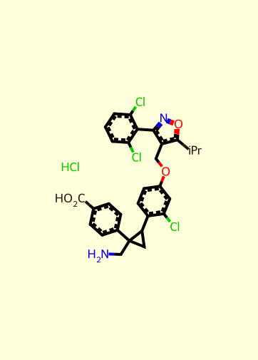 CC(C)c1onc(-c2c(Cl)cccc2Cl)c1COc1ccc(C2CC2(CN)c2ccc(C(=O)O)cc2)c(Cl)c1.Cl